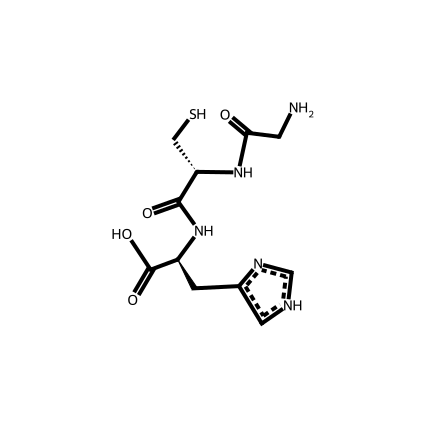 NCC(=O)N[C@@H](CS)C(=O)N[C@@H](Cc1c[nH]cn1)C(=O)O